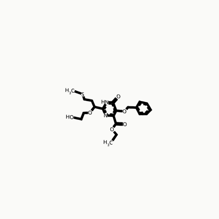 CCOC(=O)c1nc(C(CCSC)OCCO)[nH]c(=O)c1OCc1ccccc1